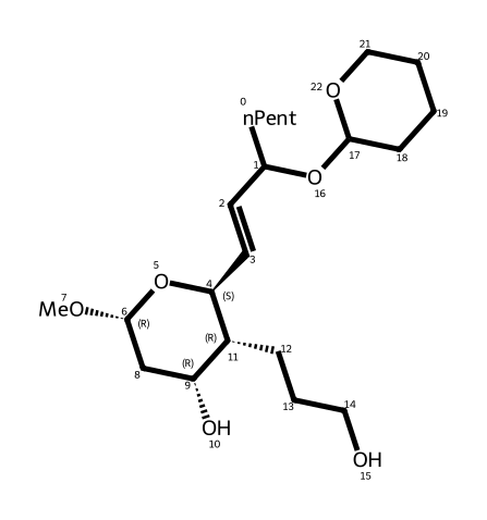 CCCCCC(C=C[C@@H]1O[C@@H](OC)C[C@@H](O)[C@H]1CCCO)OC1CCCCO1